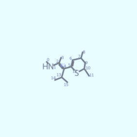 CN/C(C)=C(/C1=CC(C)CC(C)S1)C(C)C